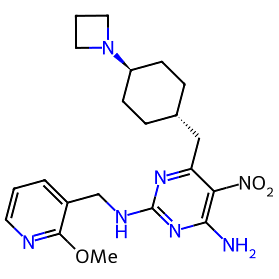 COc1ncccc1CNc1nc(N)c([N+](=O)[O-])c(C[C@H]2CC[C@H](N3CCC3)CC2)n1